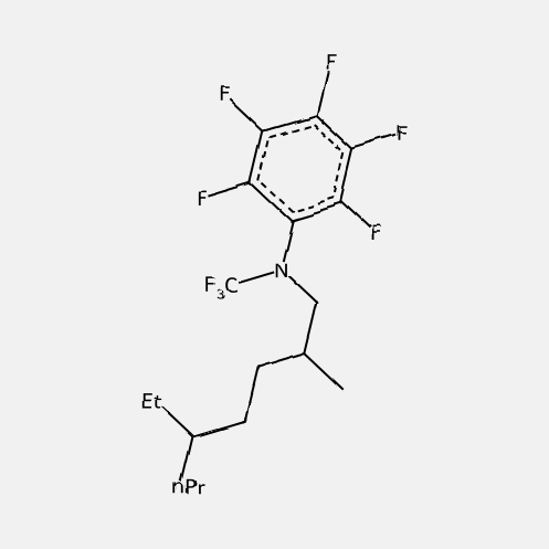 CCCC(CC)CCC(C)CN(c1c(F)c(F)c(F)c(F)c1F)C(F)(F)F